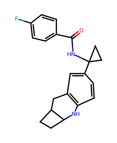 O=C(NC1(c2ccc3c(c2)CC2CCC2N3)CC1)c1ccc(F)cc1